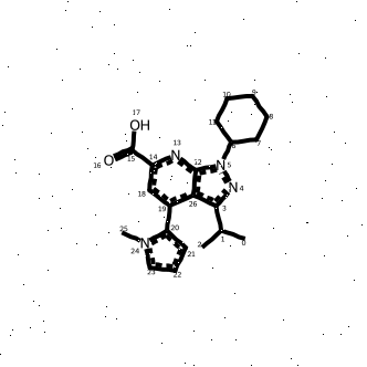 CC(C)c1nn(C2CCCCC2)c2nc(C(=O)O)cc(-c3cccn3C)c12